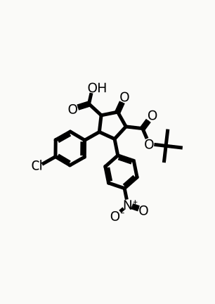 CC(C)(C)OC(=O)C1C(=O)C(C(=O)O)C(c2ccc(Cl)cc2)C1c1ccc([N+](=O)[O-])cc1